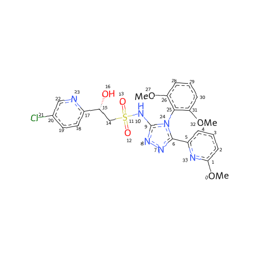 COc1cccc(-c2nnc(NS(=O)(=O)C[C@@H](O)c3ccc(Cl)cn3)n2-c2c(OC)cccc2OC)n1